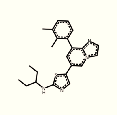 CCC(CC)Nc1ncc(-c2cc(-c3cccc(C)c3C)c3nccn3c2)s1